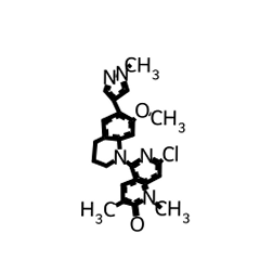 COc1cc2c(cc1-c1cnn(C)c1)CCCN2c1nc(Cl)cc2c1cc(C)c(=O)n2C